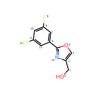 OCc1coc(-c2cc(F)cc(F)c2)n1